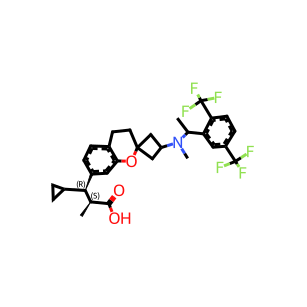 CC(c1cc(C(F)(F)F)ccc1C(F)(F)F)N(C)C1CC2(CCc3ccc([C@H](C4CC4)[C@H](C)C(=O)O)cc3O2)C1